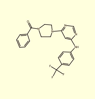 O=C(c1ccccc1)N1CCN(c2cc(Nc3ccc(C(F)(F)F)cc3)ncn2)CC1